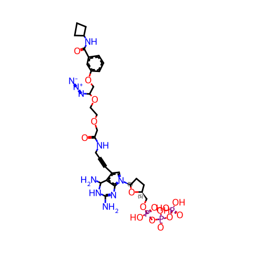 [N-]=[N+]=NC(COc1cccc(C(=O)NC2CCC2)c1)OCCOCC(=O)NCC#Cc1cn([C@H]2CC[C@@H](COP(=O)(O)OP(=O)(O)OP(=O)(O)O)O2)c2c1C(N)NC(N)=N2